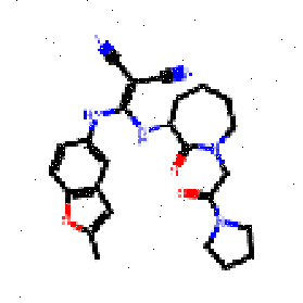 Cc1cc2cc(NC(N[C@H]3CCCCN(CC(=O)N4CCCC4)C3=O)=C(C#N)C#N)ccc2o1